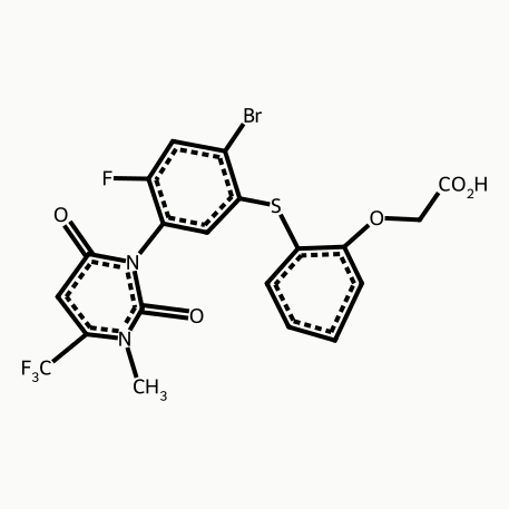 Cn1c(C(F)(F)F)cc(=O)n(-c2cc(Sc3ccccc3OCC(=O)O)c(Br)cc2F)c1=O